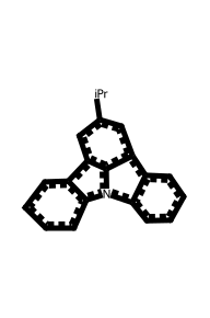 CC(C)c1cc2c3ccccc3n3c4ccccc4c(c1)c23